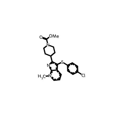 COC(=O)N1CCC(c2nc3n(C)cccc-3c2Sc2ccc(Cl)cc2)CC1